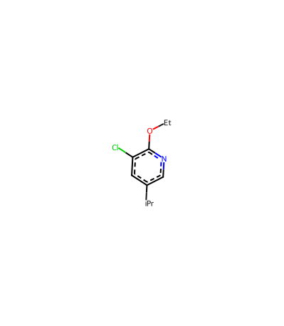 CCOc1ncc(C(C)C)cc1Cl